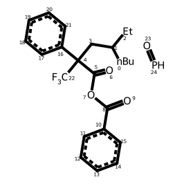 CCCCC(CC)CC(C(=O)OC(=O)c1ccccc1)(c1ccccc1)C(F)(F)F.O=P